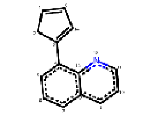 C1=CCC(c2cccc3cccnc23)=C1